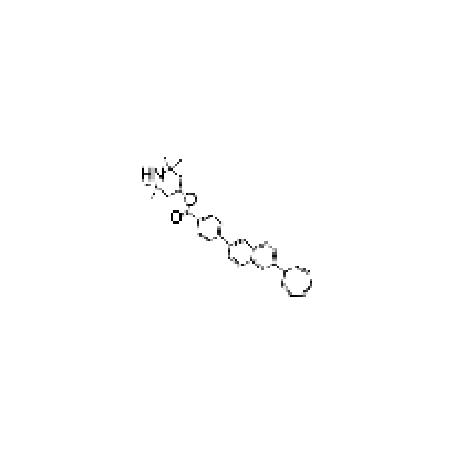 CC1(C)CC(OC(=O)c2ccc(-c3ccc4cc(C5C=CC=CC=C5)ccc4c3)cc2)CC(C)(C)N1